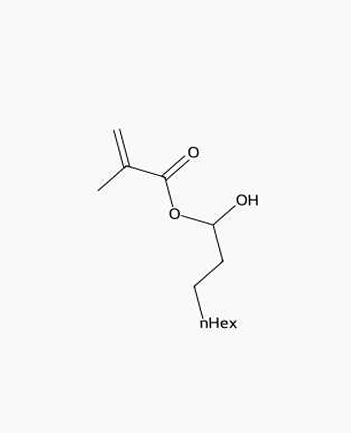 C=C(C)C(=O)OC(O)CCCCCCCC